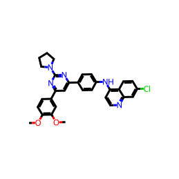 COc1ccc(-c2cc(-c3ccc(Nc4ccnc5cc(Cl)ccc45)cc3)nc(N3CCCC3)n2)cc1OC